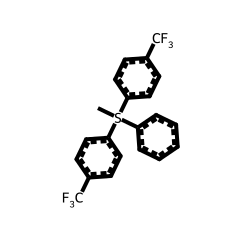 CS(c1ccccc1)(c1ccc(C(F)(F)F)cc1)c1ccc(C(F)(F)F)cc1